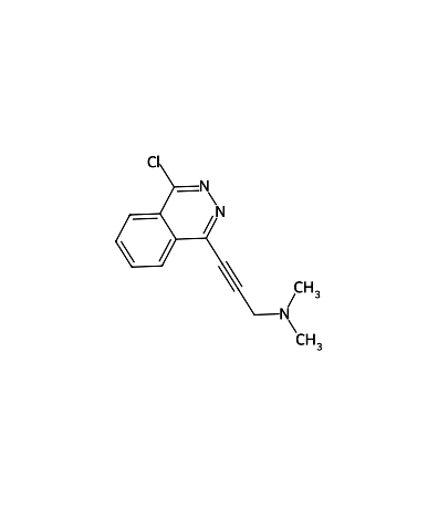 CN(C)CC#Cc1nnc(Cl)c2ccccc12